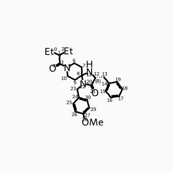 CCC(CC)C(=O)N1CCC2(CC1)N[C@H](Cc1ccccc1)C(=O)N2Cc1ccc(OC)cc1